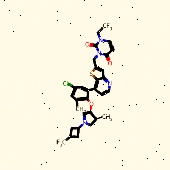 Cc1cc(Cl)cc(-c2ccnc3cc(Cn4c(=O)ccn(CC(F)(F)F)c4=O)sc23)c1O[C@@H]1CN(C2CC(C(F)(F)F)C2)C[C@@H]1C